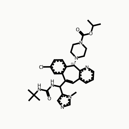 CC(C)OC(=O)N1CCN([C@H]2c3ccc(Cl)cc3C(C(NC(=O)NC(C)(C)C)c3cncn3C)=Cc3cccnc32)CC1